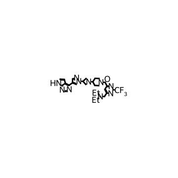 CCN(CC)Cc1cc(C(=O)N2CCC(N3CC(n4cc(-c5ncnc6[nH]ccc56)cn4)C3)CC2)nc(C(F)(F)F)n1